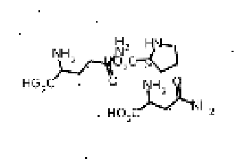 NC(=O)CC(N)C(=O)O.NC(=O)CCC(N)C(=O)O.O=C(O)[C@@H]1CCCN1